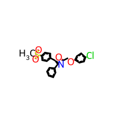 CS(=O)(=O)c1ccc(-c2oc(COc3ccc(Cl)cc3)nc2-c2ccccc2)cc1